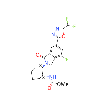 COC(=O)N[C@@H]1CCCC[C@H]1N1Cc2c(F)cc(-c3nnc(C(F)F)o3)cc2C1=O